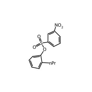 CCCc1ccccc1OS(=O)(=O)c1cccc([N+](=O)[O-])c1